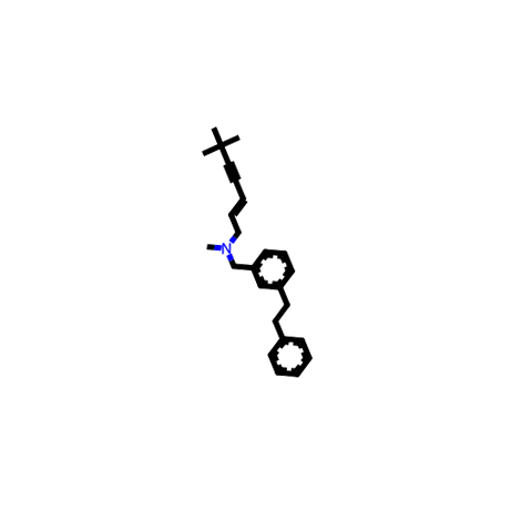 CN(CC=CC#CC(C)(C)C)Cc1cccc(CCc2ccccc2)c1